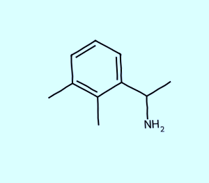 Cc1cccc(C(C)N)c1C